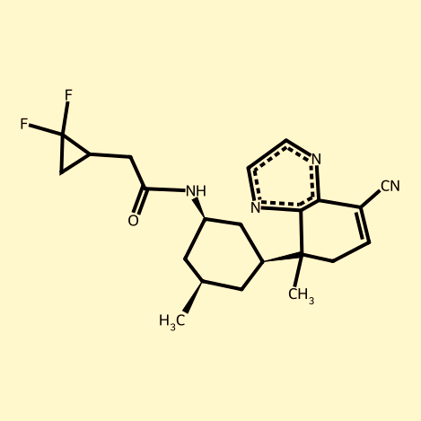 C[C@H]1C[C@@H](NC(=O)CC2CC2(F)F)C[C@@H](C2(C)CC=C(C#N)c3nccnc32)C1